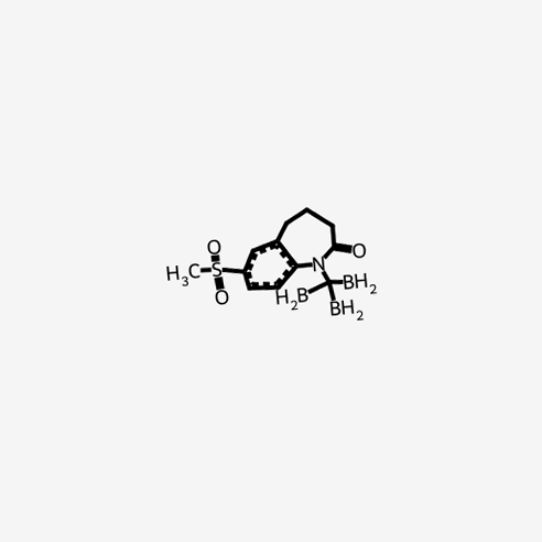 BC(B)(B)N1C(=O)CCCc2cc(S(C)(=O)=O)ccc21